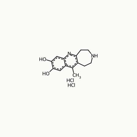 Cc1c2c(nc3cc(O)c(O)cc13)CCNCC2.Cl.Cl